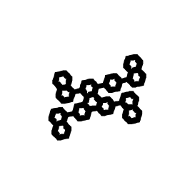 c1ccc2c(-c3ccc(-c4ccc(-c5cccc6ccccc56)c5c6cc(-c7cccc8ccccc78)ccc6c6ccc(-c7cccc8ccccc78)cc6c45)cc3)cccc2c1